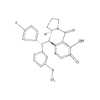 O=C1c2c(O)c(=O)cnn2[C@@H]([C@@H](c2ccc(F)cc2)c2cccc(OC(F)(F)F)c2)[C@H]2CCCN12